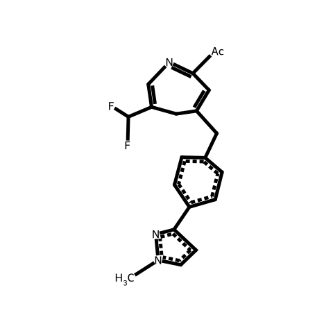 CC(=O)C1=NC=C(C(F)F)CC(Cc2ccc(-c3ccn(C)n3)cc2)=C1